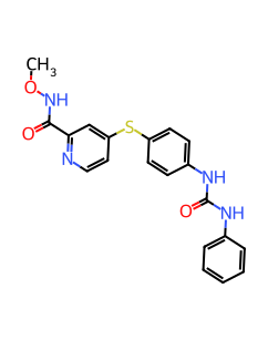 CONC(=O)c1cc(Sc2ccc(NC(=O)Nc3ccccc3)cc2)ccn1